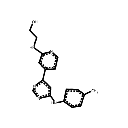 Cc1ccc(Nc2cc(-c3ccnc(NCCO)c3)ncn2)cc1